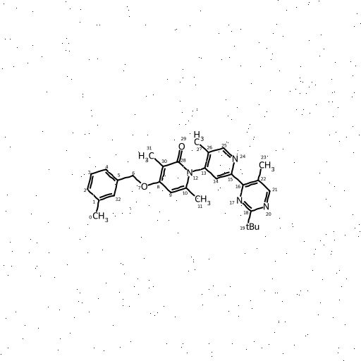 Cc1cccc(COc2cc(C)n(-c3cc(-c4nc(C(C)(C)C)ncc4C)ncc3C)c(=O)c2C)c1